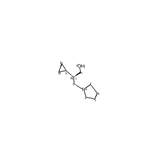 OC[C@@H](CN1CCCC1)C1CC1